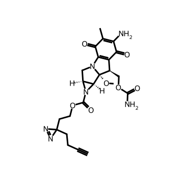 C#CCCC1(CCOC(=O)N2[C@H]3[C@@H]2CN2C4=C(C(=O)C(N)=C(C)C4=O)[C@@H](COC(N)=O)[C@@]32OC)N=N1